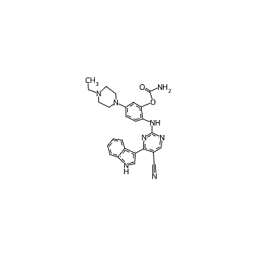 CCN1CCN(c2ccc(Nc3ncc(C#N)c(-c4c[nH]c5ccccc45)n3)c(OC(N)=O)c2)CC1